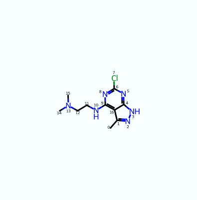 Cc1n[nH]c2nc(Cl)nc(NCCN(C)C)c12